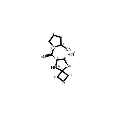 Cl.N#CC1CCCN1C(=O)[C@@H]1CSC2(CCC2)N1